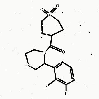 O=C(C1CCS(=O)(=O)CC1)N1CCNCC1c1cccc(F)c1F